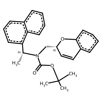 C[C@H](c1cccc2ccccc12)N(C[C@H]1C=[C]c2ccccc2O1)C(=O)OC(C)(C)C